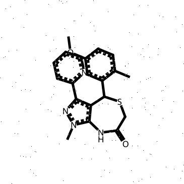 COc1ccc(C)c(C2SCC(=O)Nc3c2c(-c2ccccn2)nn3C)c1